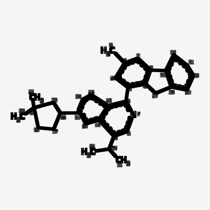 Cc1cc2c(c(-c3ncc(C(C)C)c4cc(C5CCC(C)(C)C5)ccc34)c1)Cc1ccccc1-2